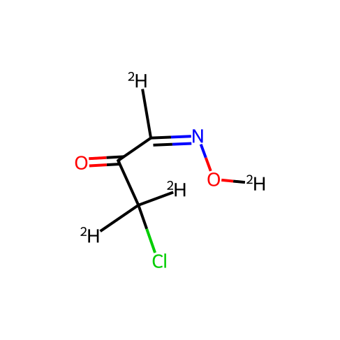 [2H]ON=C([2H])C(=O)C([2H])([2H])Cl